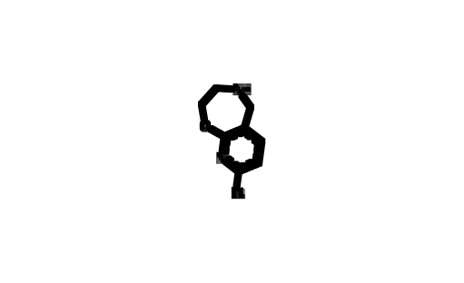 CCc1ccc2c(n1)OCCNC2